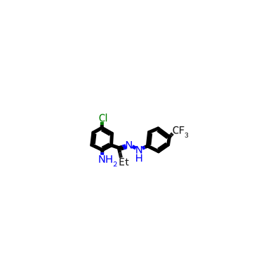 CC/C(=N\Nc1ccc(C(F)(F)F)cc1)c1cc(Cl)ccc1N